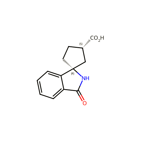 O=C1N[C@@]2(CC[C@H](C(=O)O)C2)c2ccccc21